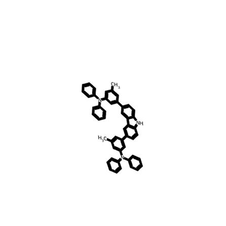 Cc1cc(-c2ccc3[nH]c4ccc(-c5cc(C)cc(N(c6ccccc6)c6ccccc6)c5)cc4c3c2)cc(N(c2ccccc2)c2ccccc2)c1